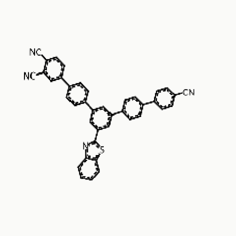 N#Cc1ccc(-c2ccc(-c3cc(-c4ccc(-c5ccc(C#N)c(C#N)c5)cc4)cc(-c4nc5ccccc5s4)c3)cc2)cc1